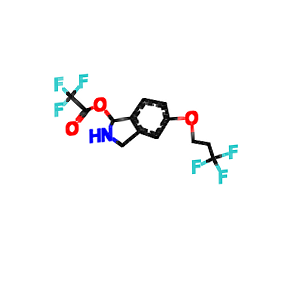 O=C(OC1NCc2cc(OCCC(F)(F)F)ccc21)C(F)(F)F